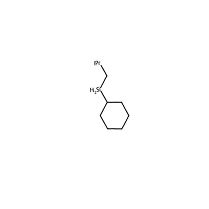 CC(C)C[SiH2]C1CCCCC1